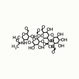 CC(=O)NC1[C@H](O[C@@H]2C(OC=O)O[C@@H](O[C@@H]3C(NC(C)=O)[C@H](C)OC(C=O)[C@H]3O)C(O)[C@H]2O)OC(C=O)[C@@H](O)[C@@H]1O[C@@H]1OC(OC=O)[C@@H](O)[C@H](O)C1O